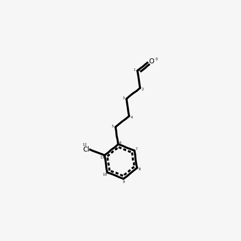 O=[C]CCCCc1ccccc1Cl